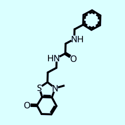 CN1C2=C(SC1CCNC(=O)CNCc1ccccc1)C(=O)CC=C2